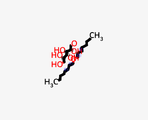 CCCC/C=C/C=C/O/C=C/C=C/CCCC.O=C[C@H](O)[C@@H](O)[C@H](O)[C@H](O)CO